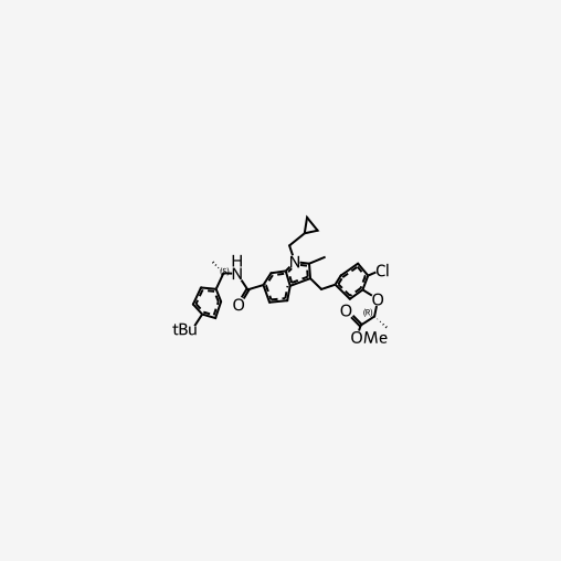 COC(=O)[C@@H](C)Oc1cc(Cc2c(C)n(CC3CC3)c3cc(C(=O)N[C@@H](C)c4ccc(C(C)(C)C)cc4)ccc23)ccc1Cl